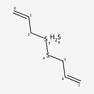 C=CCSSCC=C.S